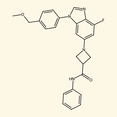 COCc1ccc(-n2cnc3c(F)cc(N4CC(C(=O)Nc5ccccc5)C4)cc32)cc1